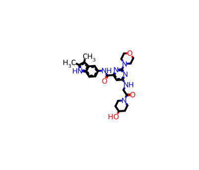 Cc1[nH]c2ccc(NC(=O)c3cc(NCC(=O)N4CCC(O)CC4)nc(N4CCOCC4)n3)cc2c1C